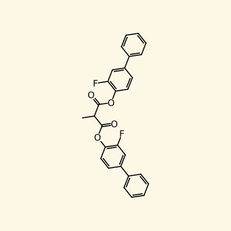 CC(C(=O)Oc1ccc(-c2ccccc2)cc1F)C(=O)Oc1ccc(-c2ccccc2)cc1F